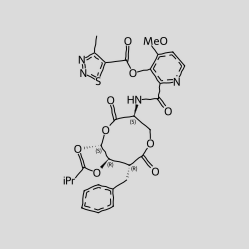 COc1ccnc(C(=O)N[C@H]2COC(=O)[C@H](Cc3ccccc3)[C@@H](OC(=O)C(C)C)[C@H](C)OC2=O)c1OC(=O)c1snnc1C